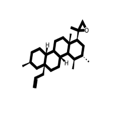 C=CC[C@]12CC[C@@H]3C(CC[C@@]4(C)C3[C@H](C)[C@@H](C)C[C@@H]4C3(C)CO3)[C@H]1CC[C@H](C)C2